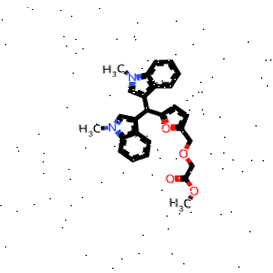 COC(=O)COCc1ccc(C(c2cn(C)c3ccccc23)c2cn(C)c3ccccc23)o1